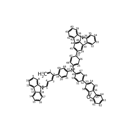 C=C/C(=C\C=C\n1c2ccccc2c2ccccc21)c1ccc(N(C2=CCC(c3cc4c5ccccc5n5c6ccccc6c(c3)c45)C=C2)c2ccc(-c3ccc4c(c3)oc3ccccc34)cc2)cc1